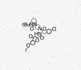 C=CCOc1ccc2oc(C(=O)N[C@H](Cc3ccc(Cl)cc3)C(=O)N3CCC(C(=O)NC(C)(C)C)(C4CCCCC4)CC3)cc(=O)c2c1